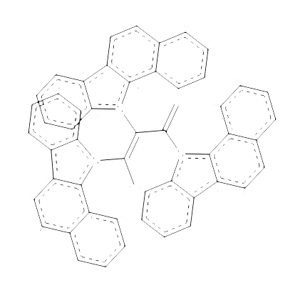 C=C(/C(=C(\C)n1c2ccccc2c2ccc3ccccc3c21)n1c2ccccc2c2ccc3ccccc3c21)n1c2ccccc2c2ccc3ccccc3c21